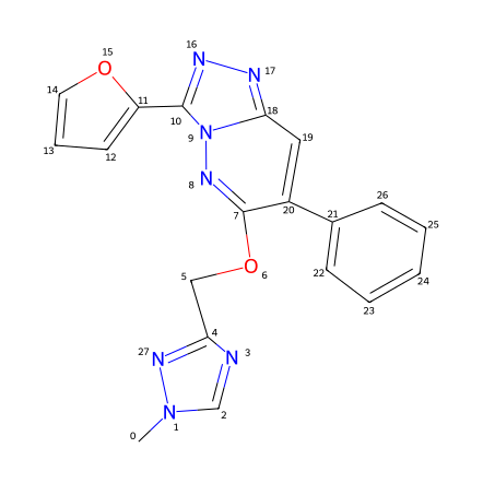 Cn1cnc(COc2nn3c(-c4ccco4)nnc3cc2-c2ccccc2)n1